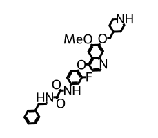 COc1cc2c(Oc3ccc(NC(=O)C(=O)NCCc4ccccc4)cc3F)ccnc2cc1OCC1CCNCC1